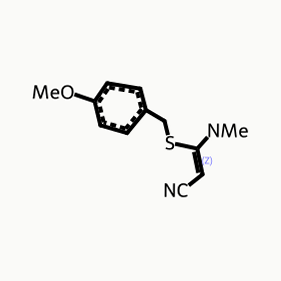 CN/C(=C/C#N)SCc1ccc(OC)cc1